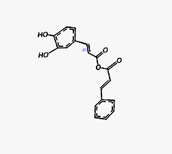 O=C(C=Cc1ccccc1)OC(=O)/C=C/c1ccc(O)c(O)c1